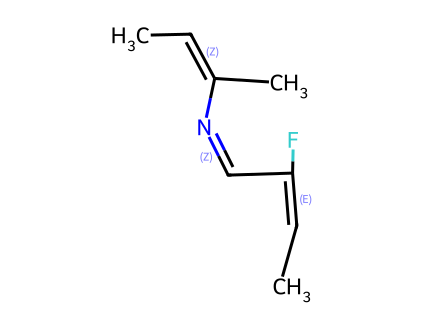 C\C=C(C)/N=C\C(F)=C/C